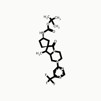 CC1C2CN(c3cc(C(F)(F)F)ncn3)CCN2C(=O)[C@]12CC[C@@H](NC(=O)OC(C)(C)C)C2